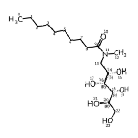 CCCCCCCCCC(=O)N(C)C[C@H](O)[C@@H](O)[C@H](O)[C@H](O)CO